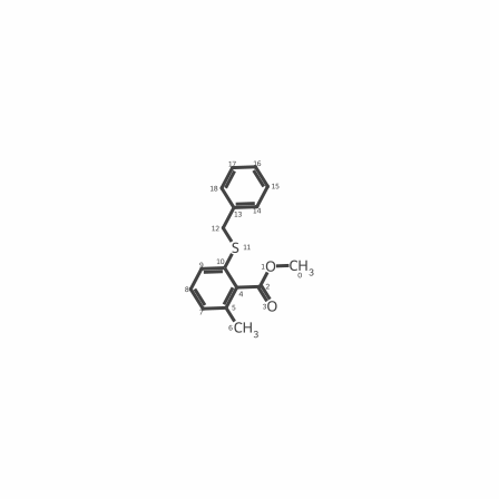 COC(=O)c1c(C)cccc1SCc1ccccc1